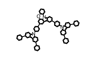 c1ccc(-c2ccc3c(c2)c2cc(-c4ccccc4)ccc2n3-c2ccc(-c3ccc4c(c3)c3cc(-c5ccc(-n6c7ccc(-c8ccccc8)cc7c7cc(-c8ccccc8)ccc76)cc5)cc5c3n4-c3ccccc3O5)cc2)cc1